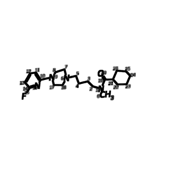 CN(CCCCN1CCN(c2cccc(F)n2)CC1)C(=O)C1CCCCC1